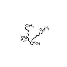 CCCCCC(C)(O)/C=C/C1CCC(O)C1CCCCCCC(=O)OC